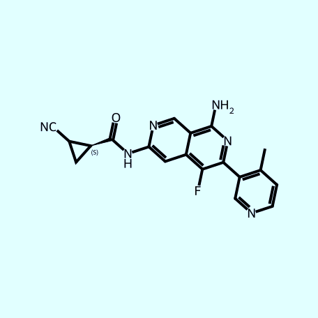 Cc1ccncc1-c1nc(N)c2cnc(NC(=O)[C@H]3CC3C#N)cc2c1F